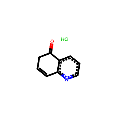 Cl.O=C1CC=Cc2ncccc21